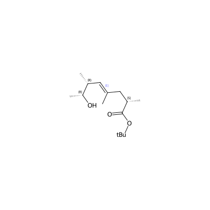 C/C(=C\[C@@H](C)[C@@H](C)O)C[C@H](C)C(=O)OC(C)(C)C